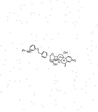 CC(C)Nc1cccc(SCc2ccc([C@H]3O[C@@H]4C[C@H]5[C@@H]6C[C@H](F)C7=CC(=O)C=C[C@]7(C)[C@@]6(F)[C@@H](O)C[C@]5(C)[C@]4(C(=O)CO)O3)cc2)c1